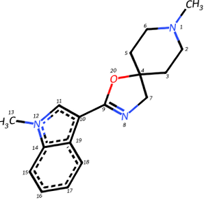 CN1CCC2(CC1)CN=C(c1cn(C)c3ccccc13)O2